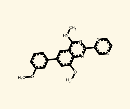 CNc1nc(-c2cnccn2)nc2c(OC)cc(-c3cccc(OC)c3)cc12